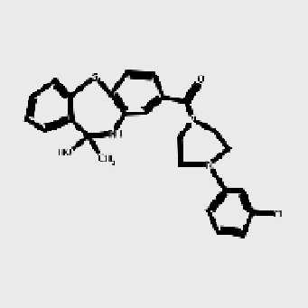 CC1(O)Nc2cc(C(=O)N3CCN(c4cccc(Cl)c4)CC3)ccc2Sc2ccccc21